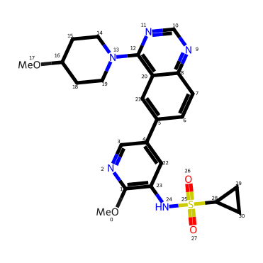 COc1ncc(-c2ccc3ncnc(N4CCC(OC)CC4)c3c2)cc1NS(=O)(=O)C1CC1